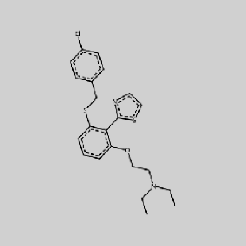 CCN(CC)CCOc1cccc(SCc2ccc(Cl)cc2)c1-c1nccs1